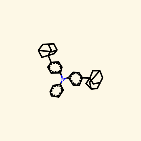 c1ccc(N(c2ccc(C34CC5CC(CC(C5)C3)C4)cc2)c2ccc(C34CC5CC(CC(C5)C3)C4)cc2)cc1